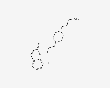 CCCCC1CCN(CCCn2c(=O)ccc3cccc(F)c32)CC1